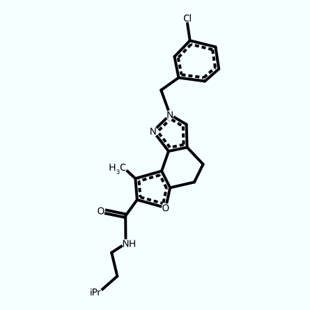 Cc1c(C(=O)NCCC(C)C)oc2c1-c1nn(Cc3cccc(Cl)c3)cc1CC2